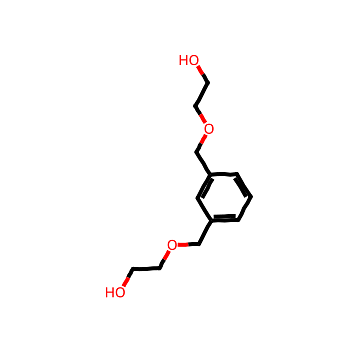 OCCOCc1cccc(COCCO)c1